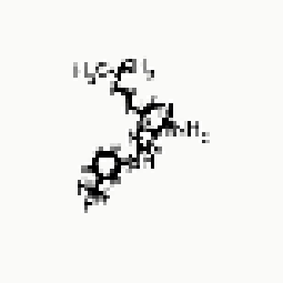 CN(C)CCCc1cnc(N)c2nc(Nc3cccc(C(F)(F)F)c3)nn12